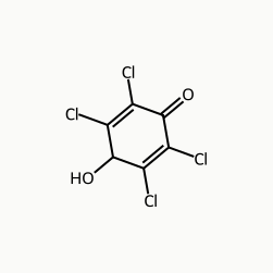 O=C1C(Cl)=C(Cl)C(O)C(Cl)=C1Cl